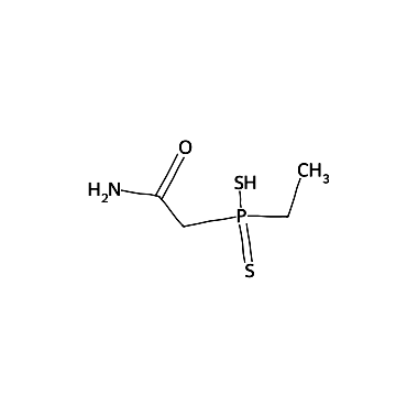 CCP(=S)(S)CC(N)=O